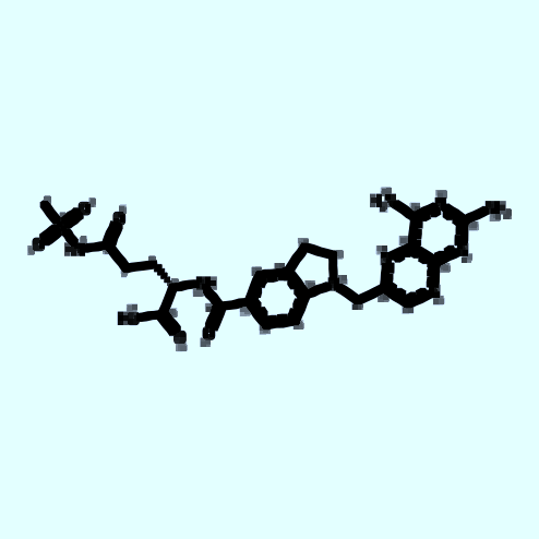 CS(=O)(=O)NC(=O)CC[C@H](NC(=O)c1ccc2c(c1)CCN2Cc1cnc2nc(N)nc(N)c2n1)C(=O)O